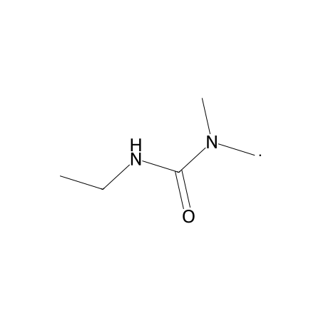 [CH2]N(C)C(=O)NCC